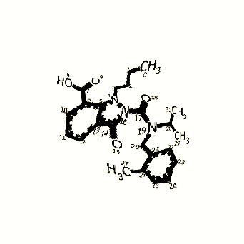 CCCCn1c2c(C(=O)O)cccc2c(=O)n1C(=O)N(Cc1ccccc1C)C(C)C